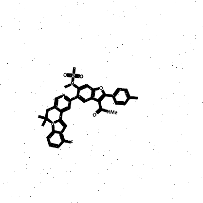 CNC(=O)c1c(-c2ccc(C)cc2)oc2cc(N(C)S(C)(=O)=O)c(-c3cc4c(cn3)CC(C)(C)n3c-4cc4c(F)cccc43)cc12